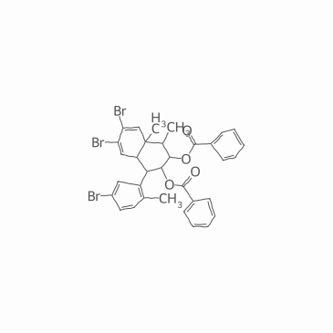 Cc1ccc(Br)cc1C1C(OC(=O)c2ccccc2)C(OC(=O)c2ccccc2)C(C)C2(C)C=C(Br)C(Br)=CC12